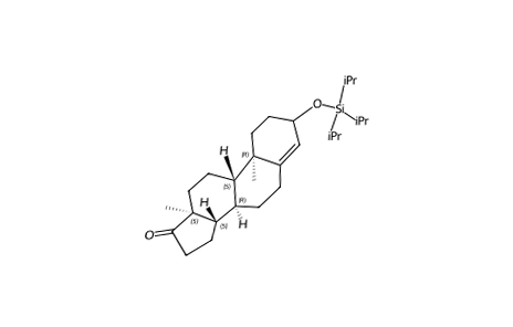 CC(C)[Si](OC1C=C2CC[C@@H]3[C@H](CC[C@]4(C)C(=O)CC[C@@H]34)[C@@]2(C)CC1)(C(C)C)C(C)C